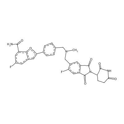 CN(Cc1ccc(-c2cc3cc(F)cc(C(N)=O)c3o2)cc1)Cc1cc2c(cc1F)C(=O)N(C1CCC(=O)NC1=O)C2=O